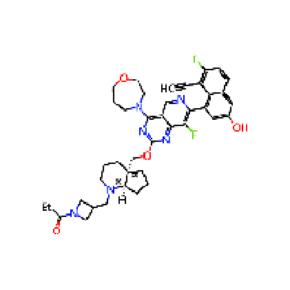 C#Cc1c(F)ccc2cc(O)cc(-c3ncc4c(N5CCCOCC5)nc(OC[C@]56CCC[C@H]5N(CC5CN(C(=O)CC)C5)CCC6)nc4c3F)c12